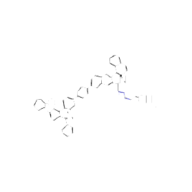 C=C/C=C\C=C\c1nc2ccc3ccccc3c2c2cc3ccc(-c4ccc(-c5ccc6c(c5)nc(-c5ccccc5)c5ccc7c8ccccc8oc7c56)cc4)cc3cc12